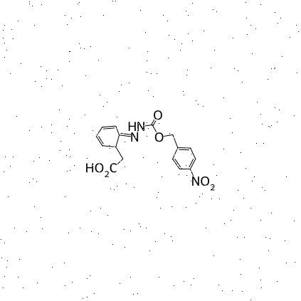 O=C(O)CC1C=CC=CC1=NNC(=O)OCc1ccc([N+](=O)[O-])cc1